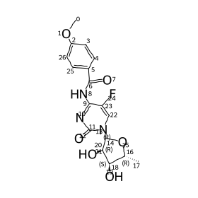 COc1ccc(C(=O)Nc2nc(=O)n([C@@H]3O[C@H](C)[C@@H](O)[C@H]3O)cc2F)cc1